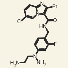 CCc1nc2ccc(Cl)cn2c1C(=O)NCc1ccc(N(N)CCN)cc1F